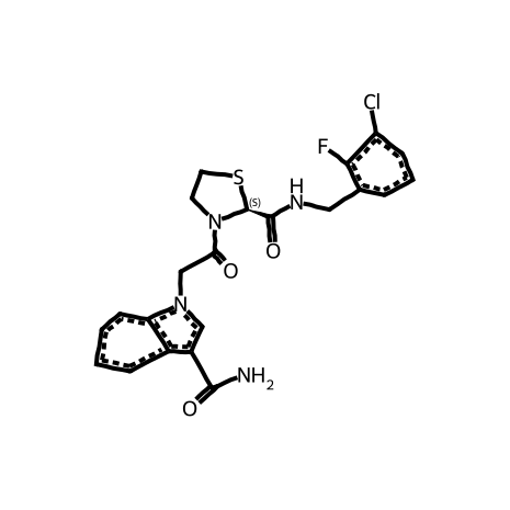 NC(=O)c1cn(CC(=O)N2CCS[C@H]2C(=O)NCc2cccc(Cl)c2F)c2ccccc12